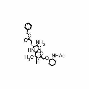 CC(=O)N[C@@H]1CCCC[C@H]1OCC(=O)N[C@@H](C)C(=O)N[C@H](CCC(=O)OCc1ccccc1)C(N)=O